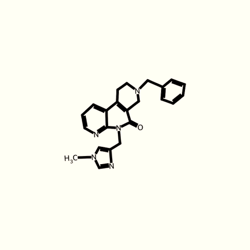 Cn1cnc(Cn2c(=O)c3c(c4cccnc42)CCN(Cc2ccccc2)C3)c1